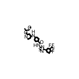 COCC(C)Oc1cc(Nc2ccc(C(=O)Nc3nc(-c4ccc(F)c(C(F)(F)F)c4)ns3)cc2)ccn1